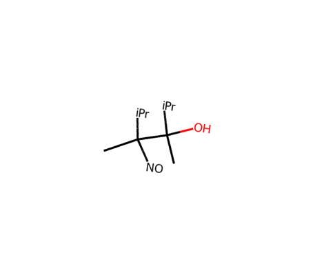 CC(C)C(C)(O)C(C)(N=O)C(C)C